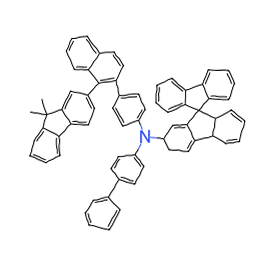 CC1(C)c2ccccc2-c2ccc(-c3c(-c4ccc(N(c5ccc(-c6ccccc6)cc5)C5C=C6C(=CC5)C5C=CC=CC5C65c6ccccc6-c6ccccc65)cc4)ccc4ccccc34)cc21